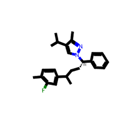 Cc1ccc(C(C)CC[C@@H](c2ccccc2)n2cc(C(C)C)c(C)n2)cc1F